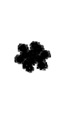 C1=CC2=C(CC1)CCCN2c1ccc2c(-c3cc(-c4ccccc4)cc(-c4ccccc4)c3)c3cc(N4CCCc5ccccc54)ccc3c(-c3cc(-c4ccccc4)cc(-c4ccccc4)c3)c2c1